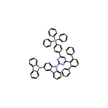 c1ccc(-c2cccc(-c3ccccc3)c2-c2cc(-c3ccc([Si](c4ccccc4)(c4ccccc4)c4ccccc4)cc3)nc(-n3c4ccccc4c4cc(-n5c6ccccc6c6ccccc65)ccc43)n2)cc1